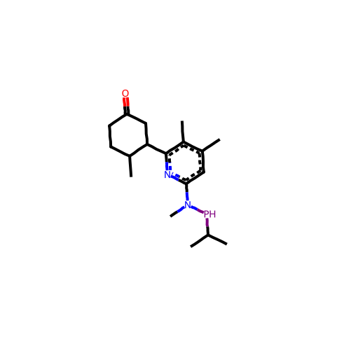 Cc1cc(N(C)PC(C)C)nc(C2CC(=O)CCC2C)c1C